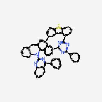 c1ccc(-c2nc(-c3ccccc3)nc(-c3cccc4sc5ccc(-c6ccc7c(c6)Cc6ccccc6N7c6nc(-c7ccccc7)c7ccccc7n6)cc5c34)n2)cc1